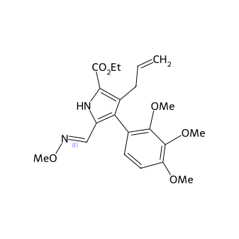 C=CCc1c(C(=O)OCC)[nH]c(/C=N/OC)c1-c1ccc(OC)c(OC)c1OC